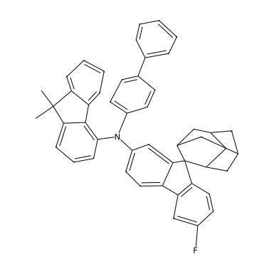 CC1(C)c2ccccc2-c2c(N(c3ccc(-c4ccccc4)cc3)c3ccc4c(c3)C3(c5ccc(F)cc5-4)C4CC5CC(C4)CC3C5)cccc21